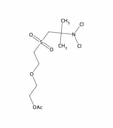 CC(=O)OCCOCCS(=O)(=O)CC(C)(C)N(Cl)Cl